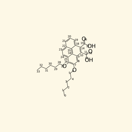 CCCCCCOc1cc2c(C(=O)O)c(C(=O)O)c3cccc4ccc(c1OCCCCCC)c2c43